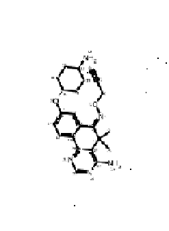 C#CCO/N=C1\c2cc(O[C@H]3CC[C@H](N)CC3)ccc2-c2ncnc(N)c2C1(C)C